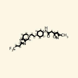 Cc1cc(CC(=O)N[C@H]2CC[C@H](CCN3CCc4sc(CCC(F)(F)F)nc4C3)CC2)on1